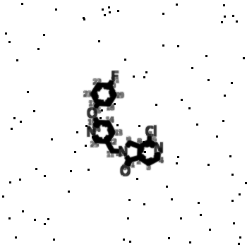 O=C1c2ccnc(Cl)c2CN1Cc1ccc(Oc2ccc(F)cc2)nc1